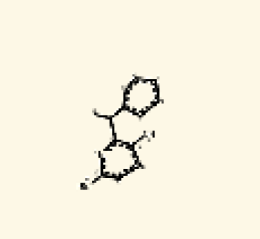 CC(c1ccccc1)c1nc(C(C)(C)C)ccc1C#N